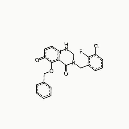 O=C1c2c(OCc3ccccc3)c(=O)ccn2NCN1Cc1cccc(Cl)c1F